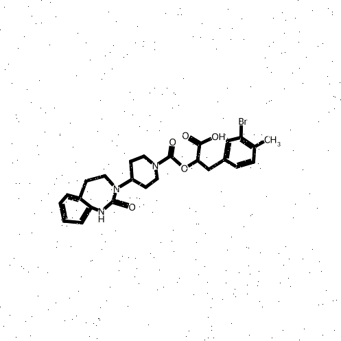 Cc1ccc(CC(OC(=O)N2CCC(N3CCc4ccccc4NC3=O)CC2)C(=O)O)cc1Br